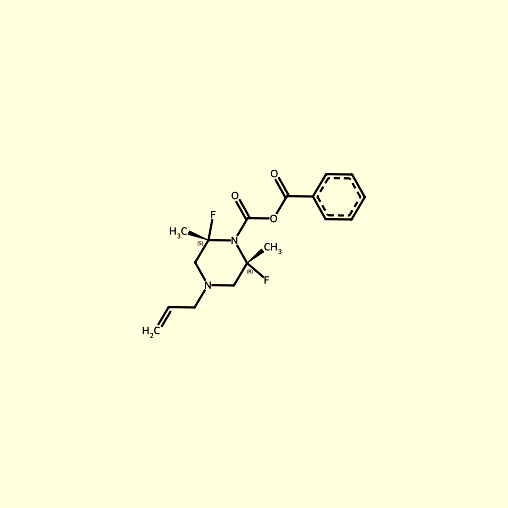 C=CCN1C[C@](C)(F)N(C(=O)OC(=O)c2ccccc2)[C@](C)(F)C1